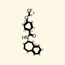 O=C(N[C@H]1CCCc2ccccc2C1)c1ccc(OCC(F)(F)F)cc1